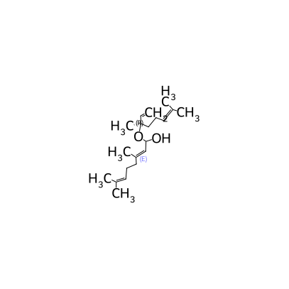 C=C[C@@](C)(CCC=C(C)C)OC(O)/C=C(\C)CCC=C(C)C